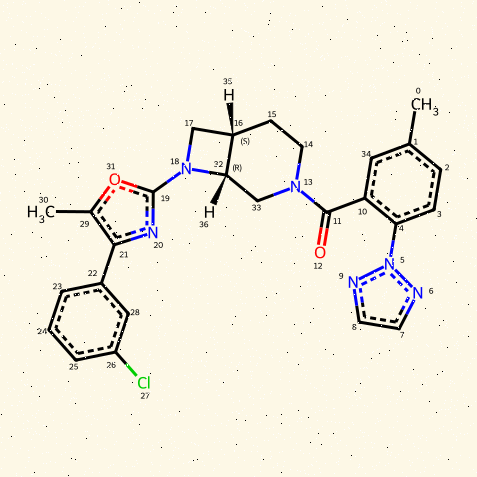 Cc1ccc(-n2nccn2)c(C(=O)N2CC[C@H]3CN(c4nc(-c5cccc(Cl)c5)c(C)o4)[C@H]3C2)c1